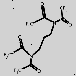 O=C(N(CCCN(C(=O)C(F)(F)F)C(=O)C(F)(F)F)C(=O)C(F)(F)F)C(F)(F)F